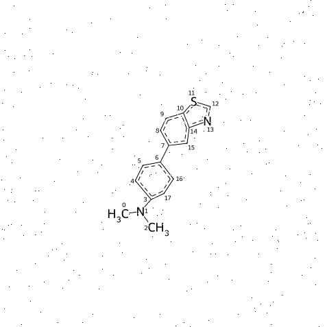 CN(C)c1ccc(-c2ccc3scnc3c2)cc1